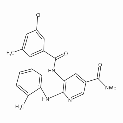 CNC(=O)c1cnc(Nc2ccccc2C)c(NC(=O)c2cc(Cl)cc(C(F)(F)F)c2)c1